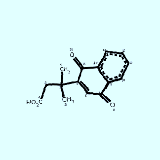 CC(C)(CC(=O)O)C1=CC(=O)c2ccccc2C1=O